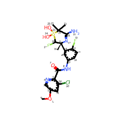 COc1cnc(C(=O)Nc2ccc(F)c([C@@]3(C)N=C(N)C(C)(C)S(O)(O)C3F)c2)c(Cl)c1